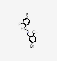 Oc1ccc(Br)cc1/C=N/Nc1ccc(F)cc1F